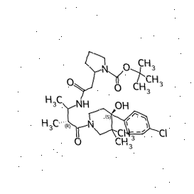 CC(NC(=O)CC1CCCN1C(=O)OC(C)(C)C)[C@@H](C)C(=O)N1CC[C@](O)(c2ccc(Cl)cc2)C(C)(C)C1